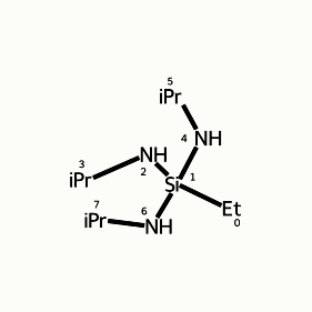 CC[Si](NC(C)C)(NC(C)C)NC(C)C